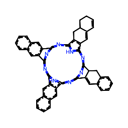 C1=CC2=Cc3c(c4nc5nc(nc6[nH]c(nc7nc(nc3[nH]4)C3Cc4ccccc4C=C73)c3cc4ccccc4cc63)-c3cc4ccccc4cc3-5)CC2CC1